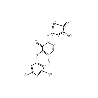 N#Cc1cc(Cl)cc(Oc2c(C(F)(F)F)ncn(Cc3cc(C(=O)O)c(=O)[nH]n3)c2=O)c1